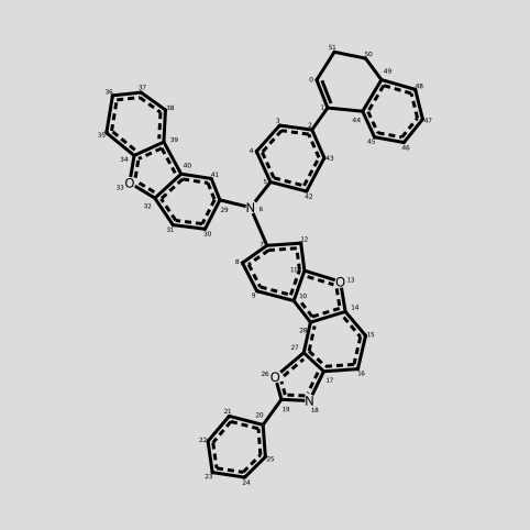 C1=C(c2ccc(N(c3ccc4c(c3)oc3ccc5nc(-c6ccccc6)oc5c34)c3ccc4oc5ccccc5c4c3)cc2)c2ccccc2CC1